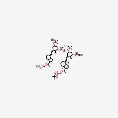 C=C1C(=CC=C2CCC[C@]3(C)C([C@@H](C)OCC(=O)O)=CCC23)C[C@@H](O[Si](C)(C)C(C)(C)C)C[C@@H]1O[Si](C)(C)C(C)(C)C.C=C1C(=CC=C2CCC[C@]3(C)C([C@@H](C)OCC(=O)OC(C)(CC)CC)=CC[C@@H]23)C[C@@H](O[Si](C)(C)C(C)(C)C)C[C@@H]1O[Si](C)(C)C(C)(C)C